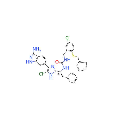 Nc1n[nH]c2cc(-c3nc([C@H](Cc4ccccc4)NC(=O)NCc4cc(Cl)ccc4SCc4ccccc4)[nH]c3Cl)ccc12